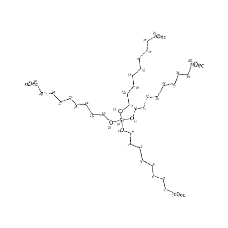 CCCCCCCCCCCCCCCCCCO[Si](OCCCCCCCCCCCCCCCCCC)(OCCCCCCCCCCCCCCCCCC)OCCCCCCCCCCCCCCCCCC